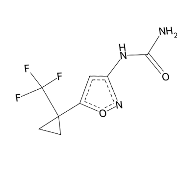 NC(=O)Nc1cc(C2(C(F)(F)F)CC2)on1